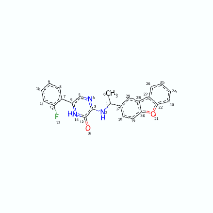 CC(Nc1ncc(-c2ccccc2F)[nH]c1=O)c1ccc2oc3ccccc3c2c1